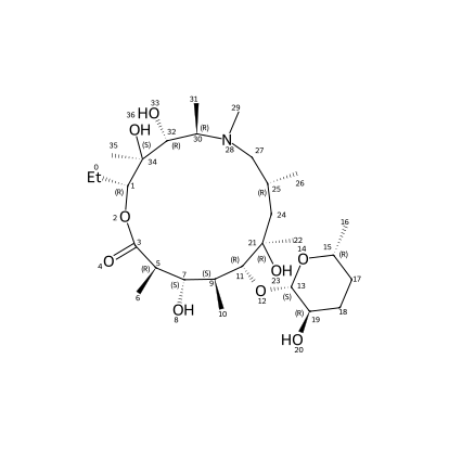 CC[C@H]1OC(=O)[C@H](C)[C@@H](O)[C@H](C)[C@@H](O[C@@H]2O[C@H](C)CC[C@H]2O)[C@](C)(O)C[C@@H](C)CN(C)[C@H](C)[C@@H](O)[C@]1(C)O